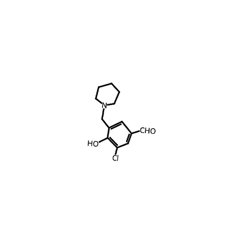 O=Cc1cc(Cl)c(O)c(CN2CCCCC2)c1